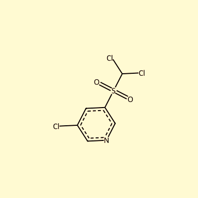 O=S(=O)(c1cncc(Cl)c1)C(Cl)Cl